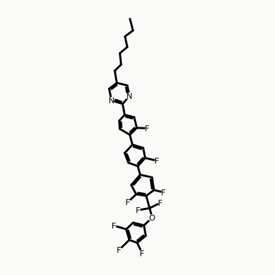 CCCCCCCc1cnc(-c2ccc(-c3ccc(-c4cc(F)c(C(F)(F)Oc5cc(F)c(F)c(F)c5)c(F)c4)c(F)c3)c(F)c2)nc1